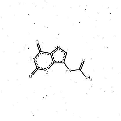 NC(=O)Nn1cnc2c(=O)[nH]c(=O)[nH]c21